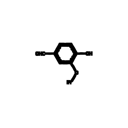 CC(C)Oc1cc(C=O)ccc1O